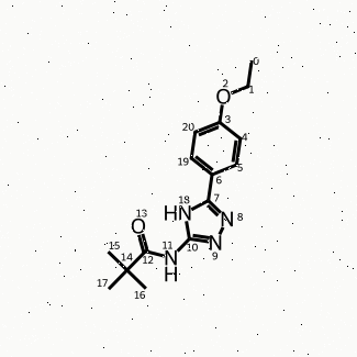 CCOc1ccc(-c2nnc(NC(=O)C(C)(C)C)[nH]2)cc1